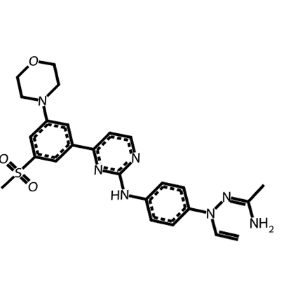 C=CN(/N=C(/C)N)c1ccc(Nc2nccc(-c3cc(N4CCOCC4)cc(S(C)(=O)=O)c3)n2)cc1